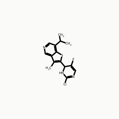 Cc1c(C2NC(Cl)=NC=C2F)sc2c(C(C)C)cncc12